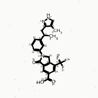 Cc1c[nH]nc1CC(C)c1cccc(N2Cc3c(cc(C(=O)O)cc3C(F)(F)F)C2=O)c1